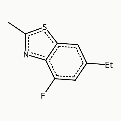 CCc1cc(F)c2nc(C)sc2c1